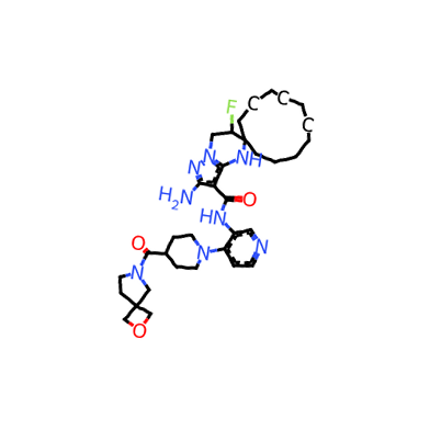 Nc1nn2c(c1C(=O)Nc1cnccc1N1CCC(C(=O)N3CCC4(COC4)C3)CC1)NC1(CCCCCCCCCC1)C(F)C2